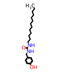 CCCCCCCCCCCCCNC(=O)NCc1ccc(O)cc1